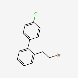 Clc1ccc(-c2ccccc2CCBr)cc1